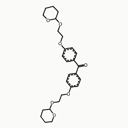 O=C(c1ccc(OCCOC2CCCCO2)cc1)c1ccc(OCCOC2CCCCO2)cc1